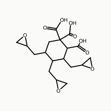 O=C(O)C1C(CC2CO2)C(CC2CO2)C(CC2CO2)CC1(C(=O)O)C(=O)O